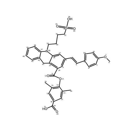 COc1ccc(C=Cc2cc(C(=O)Oc3c(C)cc(C(=O)O)cc3C)c3c(c2)N(CCCCS(=O)(=O)O)c2ccccc2C3)cc1